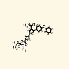 CC(C)(C)OC(=O)N1CC(n2cc(C(N)=O)c(-c3ccc(Oc4ccccc4)cc3)n2)C1